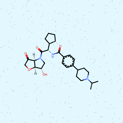 CC(C)N1CCC(c2ccc(C(=O)N[C@H](C(=O)N3C[C@H](O)[C@H]4OCC(=O)[C@H]43)C3CCCC3)cc2)CC1